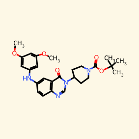 COc1cc(Nc2ccc3ncn(C4CCN(C(=O)OC(C)(C)C)CC4)c(=O)c3c2)cc(OC)c1